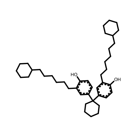 Oc1ccc(C2(c3ccc(O)c(CCCCCCC4CCCCC4)c3)CCCCC2)cc1CCCCCCC1CCCCC1